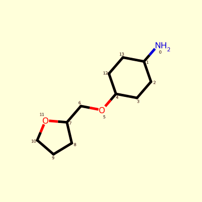 NC1CCC(OCC2CCCO2)CC1